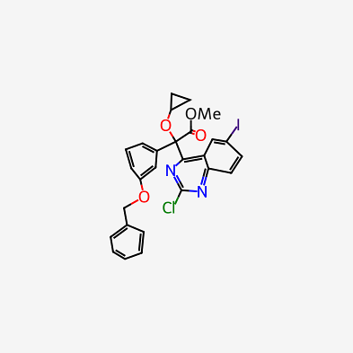 COC(=O)C(OC1CC1)(c1cccc(OCc2ccccc2)c1)c1nc(Cl)nc2ccc(I)cc12